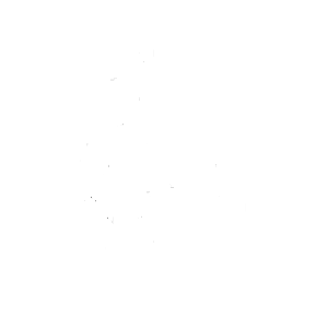 CCc1ccc2c(-c3ccc(Cl)s3)c(CCCCC(=O)O)c(C)nn12